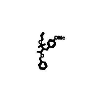 C=CCOC(C)(C)C(Cc1ccc(OC)cc1)C(C)OCc1ccccc1